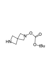 CC(C)(C)OC(=O)ON1CC2(CNC2)C1